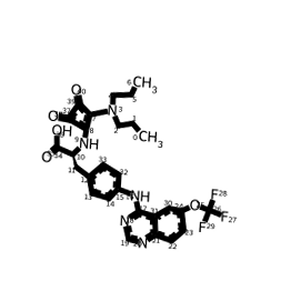 CCCN(CCC)c1c(N[C@@H](Cc2ccc(Nc3ncnc4ccc(OC(F)(F)F)cc34)cc2)C(=O)O)c(=O)c1=O